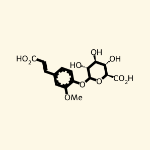 COc1cc(C=CC(=O)O)ccc1OC1O[C@H](C(=O)O)[C@@H](O)[C@H](O)[C@H]1O